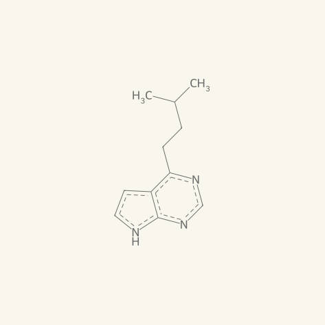 CC(C)CCc1ncnc2[nH]ccc12